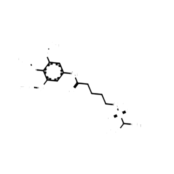 COc1cc(NC(=O)CCCCNS(=O)(=O)C(C)C)cc(OC)c1OC